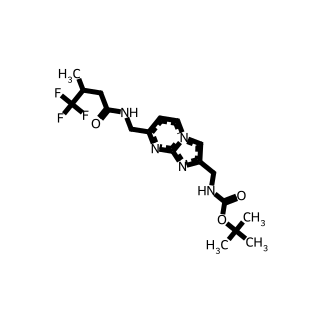 CC(CC(=O)NCc1ccn2cc(CNC(=O)OC(C)(C)C)nc2n1)C(F)(F)F